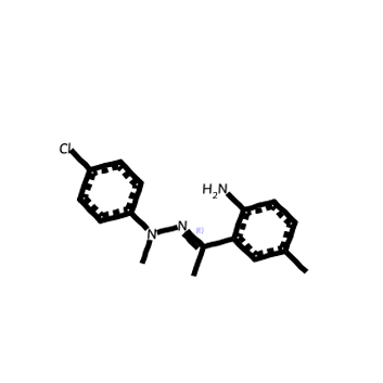 C/C(=N\N(C)c1ccc(Cl)cc1)c1cc(C)ccc1N